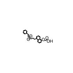 O=C(O)COc1cccc2c(CCCS(=O)(=O)C=Cc3ccccc3)cccc12